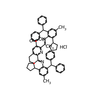 CC(=Nc1c(C2CCCC2)cc(C)cc1C(c1ccccc1)c1ccccc1)c1nc2c(cc1C(=O)O)CCCC2=Nc1c(C2CCCC2)cc(C)cc1C(c1ccccc1)c1ccccc1.Cl